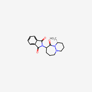 O=C(O)[C@@H]1CCCN2CCCC(N3C(=O)c4ccccc4C3=O)C(=O)N12